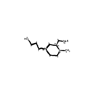 CN1CCN(CCCO)C[C@H]1CO